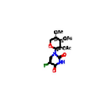 CC(=O)O[C@@H]1[C@H](OC(C)=O)[C@@H](n2cc(F)c(=O)[nH]c2=O)OC[C@@H]1OC(C)=O